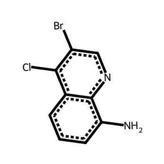 Nc1cccc2c(Cl)c(Br)cnc12